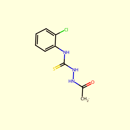 [CH2]C(=O)NNC(=S)Nc1ccccc1Cl